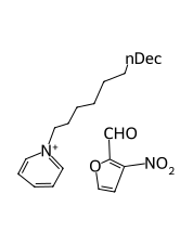 CCCCCCCCCCCCCCCC[n+]1ccccc1.O=Cc1occc1[N+](=O)[O-]